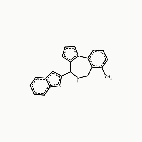 Cc1cccc2c1CNC(c1cc3ccccc3s1)c1cccn1-2